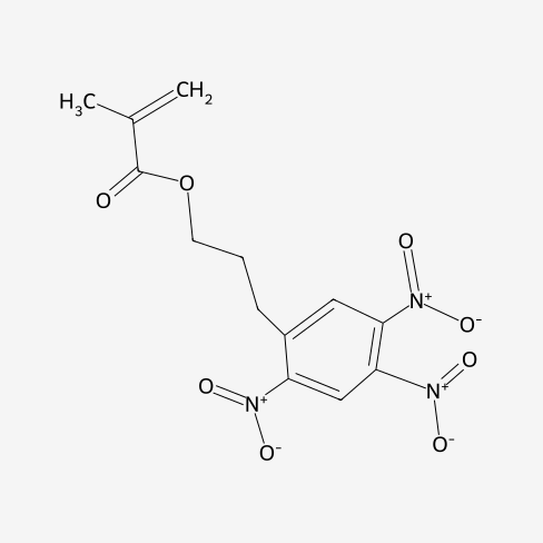 C=C(C)C(=O)OCCCc1cc([N+](=O)[O-])c([N+](=O)[O-])cc1[N+](=O)[O-]